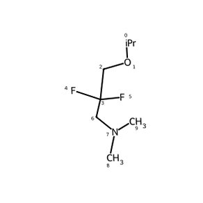 CC(C)OCC(F)(F)CN(C)C